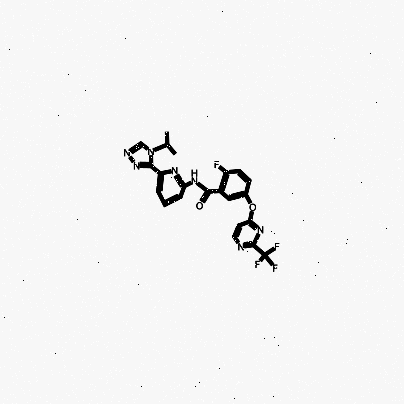 CC(C)n1cnnc1-c1cccc(NC(=O)c2cc(Oc3ccnc(C(F)(F)F)n3)ccc2F)n1